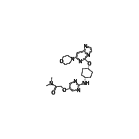 CN(C)C(=O)COc1cnc(N[C@H]2CC[C@@H](Oc3nc(N4CCOCC4)cc4nccn34)CC2)nc1